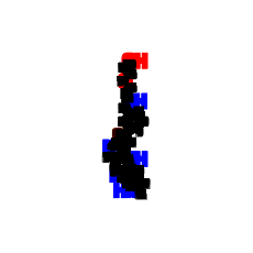 N#Cc1cnc2sc(-c3cccc(CNCCOCCO)c3)cc2c1Nc1ccc2[nH]ccc2c1